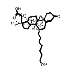 C[C@]1(CC(=O)O)CC[C@H]2[C@@H]3[C@H](CCCCCCCO)CC4=CC(=O)CC[C@]4(C)[C@H]3CC[C@@]21C